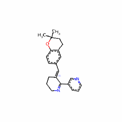 CC1(C)CCc2cc(/C=C3\CCCN=C3c3cccnc3)ccc2O1